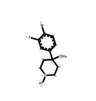 COC1(c2ccc(Br)c(F)c2)CCN(C(C)C)CC1